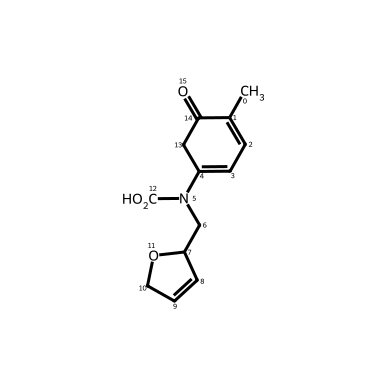 CC1=CC=C(N(CC2C=CCO2)C(=O)O)CC1=O